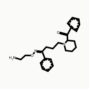 NCCO/N=C(/CCCN1CCCCC1C(=O)c1ccccc1)c1ccccc1